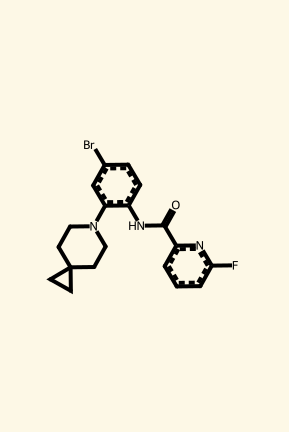 O=C(Nc1ccc(Br)cc1N1CCC2(CC1)CC2)c1cccc(F)n1